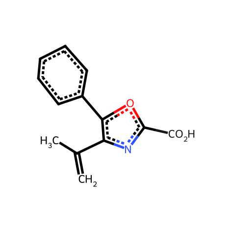 C=C(C)c1nc(C(=O)O)oc1-c1ccccc1